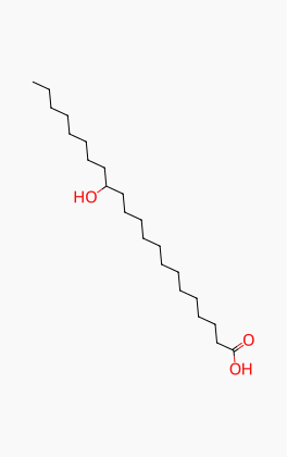 CCCCCCCCC(O)CCCCCCCCCCCCC(=O)O